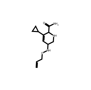 C=CCONC1C=C(C2CC2)C(C(N)=O)NC1